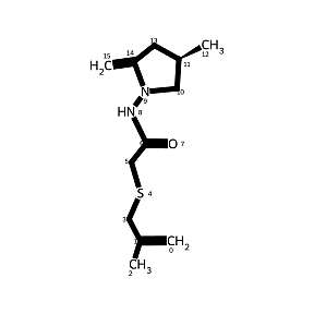 C=C(C)CSCC(=O)NN1C[C@H](C)CC1=C